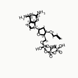 C=CCO[C@@H]1C[C@H](n2cnc3c2N=C(N)NC3N)O[C@@H]1COP(=O)(O)OP(=O)(O)OP(=O)(O)O